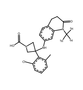 [2H]C([2H])([2H])N1C(=O)CCc2ccc(NC3(c4c(C)cccc4Cl)CN(C(=O)O)C3)cc21